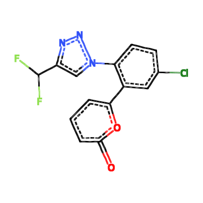 O=c1cccc(-c2cc(Cl)ccc2-n2cc(C(F)F)nn2)o1